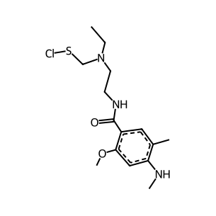 CCN(CCNC(=O)c1cc(C)c(NC)cc1OC)CSCl